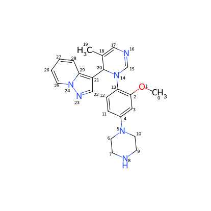 COc1cc(N2CCNCC2)ccc1N1C=NC=C(C)C1c1cnn2ccccc12